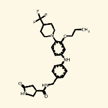 CCCOc1cc(Nc2ccc(CNC(=O)C3CNC(=O)C3)cc2)ccc1N1CCC(C(F)(F)F)CC1